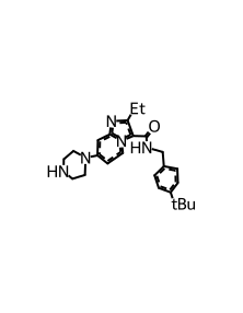 CCc1nc2cc(N3CCNCC3)ccn2c1C(=O)NCc1ccc(C(C)(C)C)cc1